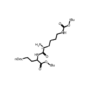 CCCCCCCCCCCCC(NC(=O)[C@@H](N)CCCCNC(=O)OC(C)(C)C)C(=O)OC(C)(C)C